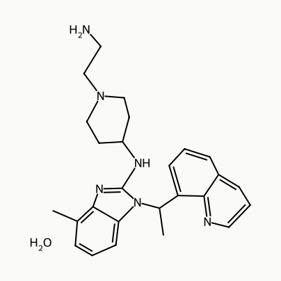 Cc1cccc2c1nc(NC1CCN(CCN)CC1)n2C(C)c1cccc2cccnc12.O